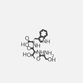 C[C@@H](O)[C@H](NC(=O)[C@@H](N)CO)C(=O)N[C@@H](Cc1c[nH]c2ccccc12)C(=O)O